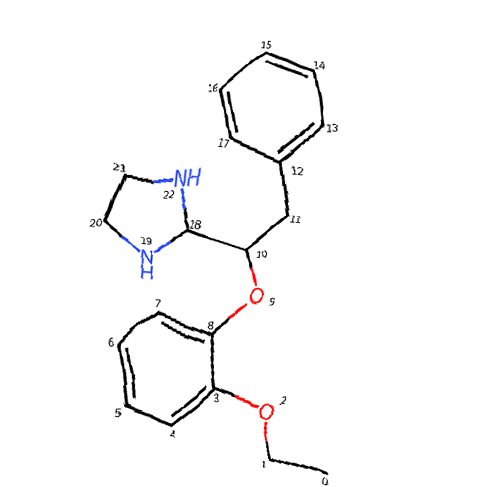 CCOc1ccccc1OC(Cc1ccccc1)C1NCCN1